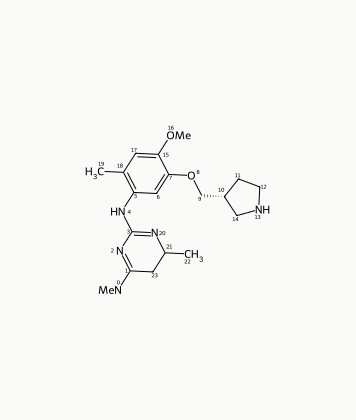 CNC1=NC(Nc2cc(OC[C@@H]3CCNC3)c(OC)cc2C)=NC(C)C1